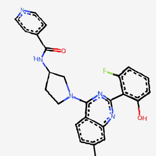 Cc1ccc2c(N3CCC(NC(=O)c4ccncc4)C3)nc(-c3c(O)cccc3F)nc2c1